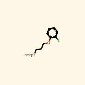 CCCCCCCCCCOc1ccccc1F